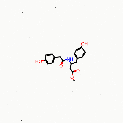 COC(=O)CC(Cc1ccc(O)cc1)NC(=O)Cc1ccc(O)cc1